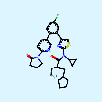 O=C(O)C[C@@H](CC1CCCC1)C(=O)N(c1nc(-c2cc(Cl)ccc2-c2ccc(N3CCCC3=O)nc2)cs1)C1CC1